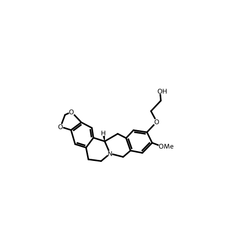 COc1cc2c(cc1OCCO)C[C@H]1c3cc4c(cc3CCN1C2)OCO4